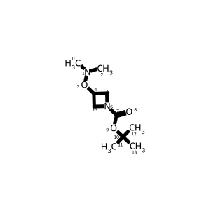 CN(C)OC1CN(C(=O)OC(C)(C)C)C1